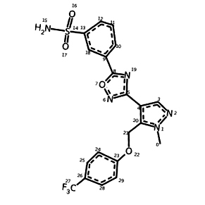 Cn1ncc(-c2noc(-c3cccc(S(N)(=O)=O)c3)n2)c1COc1ccc(C(F)(F)F)cc1